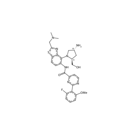 COc1cccc(F)c1-c1nccc(C(=O)Nc2ccc3sc(CN(C)C)nc3c2N2C[C@H](N)C[C@H]2CO)n1